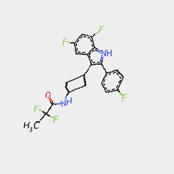 CC(F)(F)C(=O)NC1CC(c2c(-c3ccc(F)cc3)[nH]c3c(F)cc(F)cc23)C1